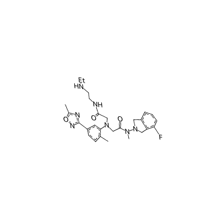 CCNCCNC(=O)CN(CC(=O)N(C)N1Cc2cccc(F)c2C1)c1cc(-c2noc(C)n2)ccc1C